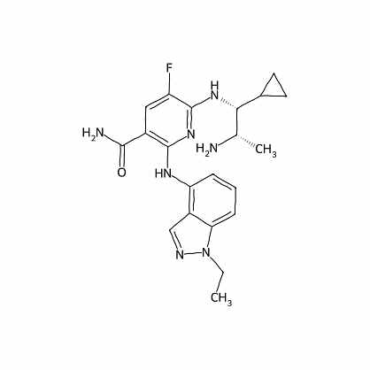 CCn1ncc2c(Nc3nc(N[C@H](C4CC4)[C@H](C)N)c(F)cc3C(N)=O)cccc21